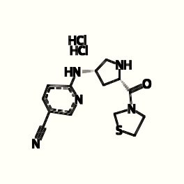 Cl.Cl.N#Cc1ccc(N[C@@H]2CN[C@H](C(=O)N3CCSC3)C2)nc1